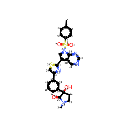 Cc1ccc(S(=O)(=O)n2cc(-c3nc(-c4cccc(C5(O)CCN(C)C5=O)c4)cs3)c3cncnc32)cc1